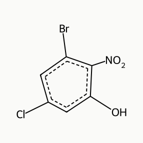 O=[N+]([O-])c1c(O)cc(Cl)cc1Br